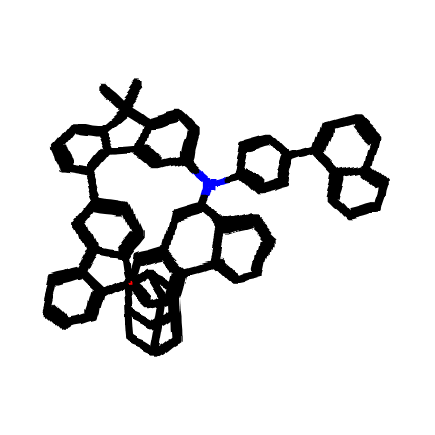 CC1(C)c2ccc(N(c3ccc(-c4cccc5ccccc45)cc3)c3cc4ccccc4c4ccccc34)cc2-c2c(-c3ccc4c(c3)-c3ccccc3C43C4CC5CC(C4)CC3C5)cccc21